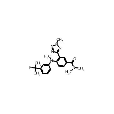 CN(C)C(=O)c1ccc(N(C)c2cccc(C(C)(C)F)c2)c(-c2nnn(C)n2)c1